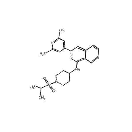 Cc1cc(-c2cc(NC3CCN(S(=O)(=O)C(C)C)CC3)c3cnccc3c2)cc(C)n1